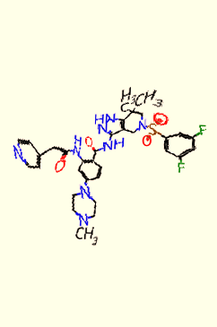 CN1CCN(c2ccc(C(=O)Nc3n[nH]c4c3CN(S(=O)(=O)c3cc(F)cc(F)c3)CC4(C)C)c(NC(=O)Cc3ccncc3)c2)CC1